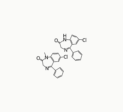 CN1C(=O)CN=C(c2ccccc2)c2cc(Cl)ccc21.O=C1CN=C(c2ccccc2)c2cc(Cl)ccc2N1